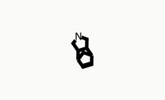 C1=CC2CC1C1C[N]CC21